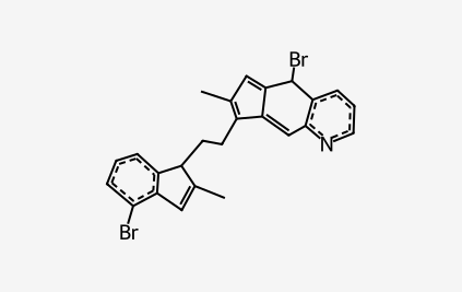 CC1=Cc2c(Br)cccc2C1CCC1=C(C)C=C2C1=Cc1ncccc1C2Br